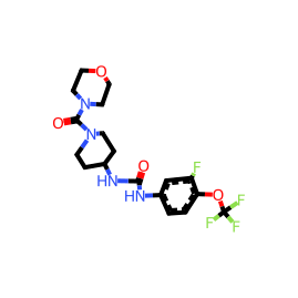 O=C(Nc1ccc(OC(F)(F)F)c(F)c1)NC1CCN(C(=O)N2CCOCC2)CC1